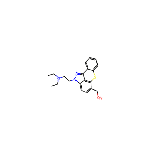 CCN(CC)CCn1nc2c3c(c(CO)ccc31)Sc1ccccc1-2